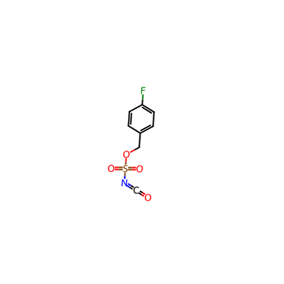 O=C=NS(=O)(=O)OCc1ccc(F)cc1